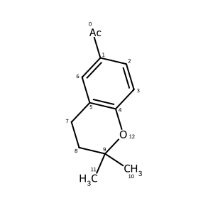 CC(=O)c1ccc2c(c1)CCC(C)(C)O2